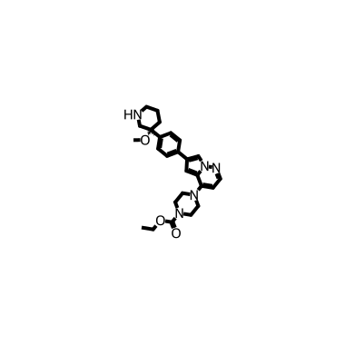 CCOC(=O)N1CCN(c2ccnn3cc(-c4ccc([C@]5(OC)CCCNC5)cc4)cc23)CC1